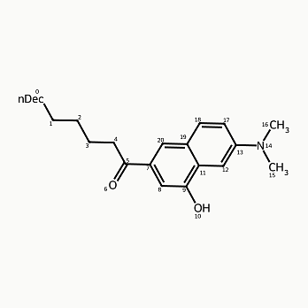 CCCCCCCCCCCCCCC(=O)c1cc(O)c2cc(N(C)C)ccc2c1